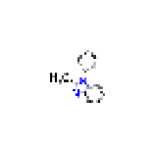 Cc1nc2c[c]ccc2n1-c1ccccc1